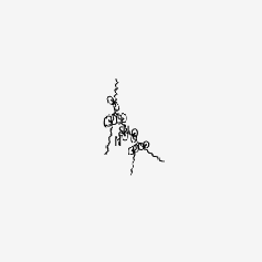 CCCCCCCCC(=O)OCC(COC(=O)CCCCCCCC)COC(=O)CCN(CCC(=O)OCC(COC(=O)CCCCCCCC)COC(=O)CCCCCCCC)C(=O)SCCN(C)C